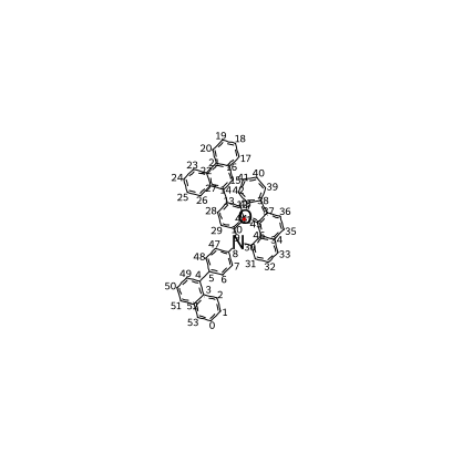 c1ccc2c(-c3ccc(N(c4ccc(-c5cc6ccccc6c6ccccc56)cc4)c4cccc5ccc6c7ccccc7oc6c45)cc3)cccc2c1